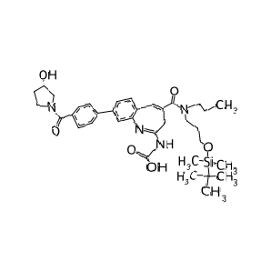 CCCN(CCCO[Si](C)(C)C(C)(C)C)C(=O)C1=Cc2ccc(-c3ccc(C(=O)N4CC[C@H](O)C4)cc3)cc2N=C(NC(=O)O)C1